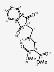 COC(=O)C(CC(=O)CN1C(=O)c2ccccc2C1=O)C(=O)OC